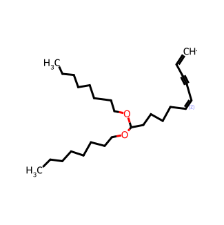 [CH]=CC#C/C=C\CCCCC(OCCCCCCCC)OCCCCCCCC